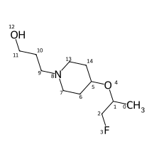 CC(CF)OC1CCN(CCCO)CC1